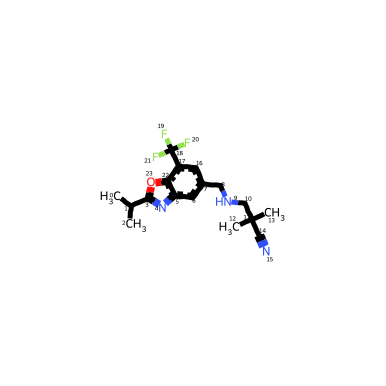 CC(C)c1nc2cc(CNCC(C)(C)C#N)cc(C(F)(F)F)c2o1